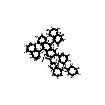 CCc1nc2cccc3c2n1-c1c(-c2ccc4c(-c5cccc6ccccc56)c5ccccc5c(-c5cccc6ccccc56)c4c2)cccc1N3c1ccccc1